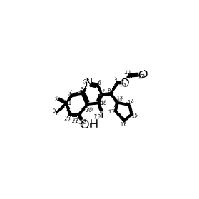 CC1(C)Cc2ncc(C(COC=O)C3CCCC3)c(I)c2C(O)C1